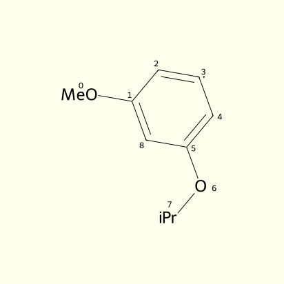 COc1c[c]cc(OC(C)C)c1